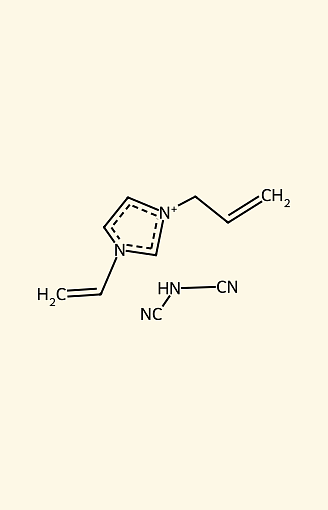 C=CC[n+]1ccn(C=C)c1.N#CNC#N